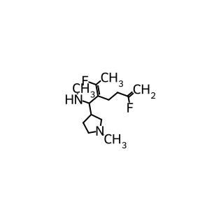 C=C(F)CC/C(=C(\C)F)C(NC)C1CCN(C)C1